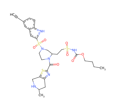 C#Cc1ccc2[nH]c(S(=O)(=O)N3CCN(C(=O)c4nc5c(s4)CNC(C)C5)C(CCS(=O)(=O)NC(=O)OCCCC)C3)cc2c1